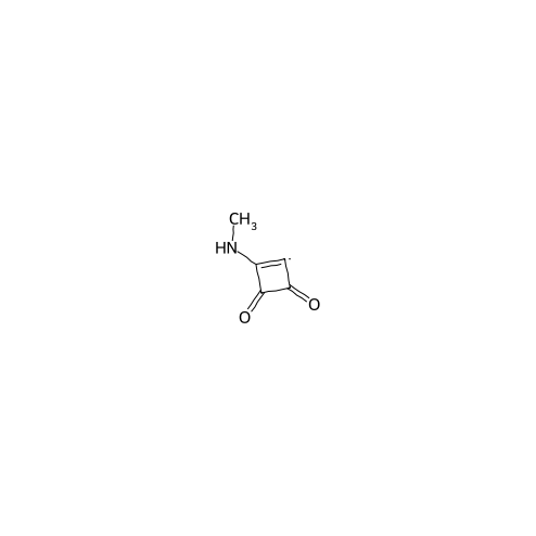 CNc1[c]c(=O)c1=O